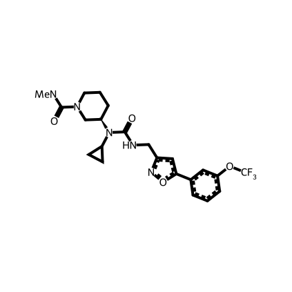 CNC(=O)N1CCC[C@@H](N(C(=O)NCc2cc(-c3cccc(OC(F)(F)F)c3)on2)C2CC2)C1